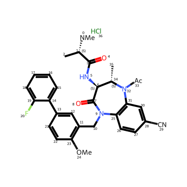 CN[C@@H](C)C(=O)N[C@@H]1C(=O)N(Cc2cc(-c3ccccc3F)ccc2OC)c2ccc(C#N)cc2N(C(C)=O)[C@H]1C.Cl